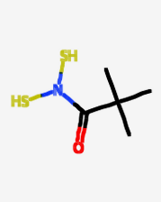 CC(C)(C)C(=O)N(S)S